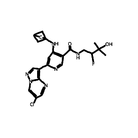 CC(C)(O)C(F)CNC(=O)c1cnc(-c2cnn3cc(Cl)cnc23)cc1NC12CC(C1)C2